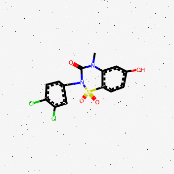 CN1C(=O)N(c2ccc(Cl)c(Cl)c2)S(=O)(=O)c2ccc(O)cc21